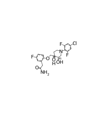 NC(=O)Cc1cc(F)ccc1OC[C@]1(O)CCN(c2c(F)cc(Cl)cc2F)C[C@H]1O